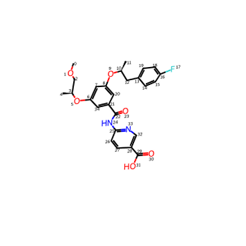 COC[C@H](C)Oc1cc(O[C@@H](C)Cc2ccc(F)cc2)cc(C(=O)Nc2ccc(C(=O)O)cn2)c1